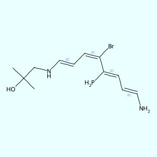 CC(C)(O)CN/C=C/C=C(Br)\C(P)=C\C=C\N